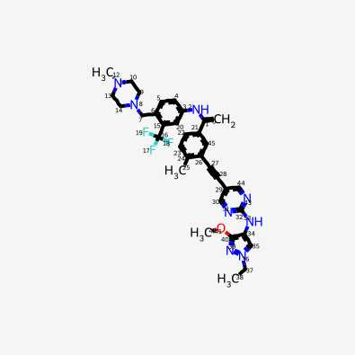 C=C(Nc1ccc(CN2CCN(C)CC2)c(C(F)(F)F)c1)c1ccc(C)c(C#Cc2cnc(Nc3cn(CC)nc3OC)nc2)c1